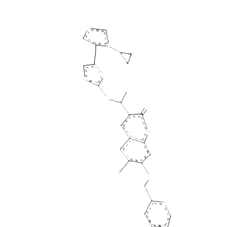 CC(Nc1ncc(-c2cncn2C2CC2)s1)c1cc2cc(Cl)c(OCc3ccccn3)cc2[nH]c1=O